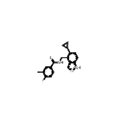 Cc1cc(C(=O)NCc2c(C3CC3)ccc3[nH]ncc23)ccc1F